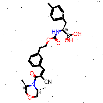 Cc1ccc(C[C@H](NC(=O)OCCc2cccc(C=C(C#N)C(=O)N3[C@H](C)COC[C@H]3C)c2)B(O)O)cc1